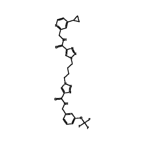 O=C(NCc1cccc(OC(F)(F)F)c1)c1cn(CCCCn2cc(C(=O)NCc3cc(C4CC4)ccn3)nn2)nn1